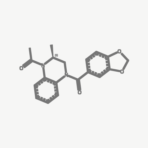 CC(=O)N1c2ccccc2N(C(=O)c2ccc3c(c2)OCO3)C[C@@H]1C